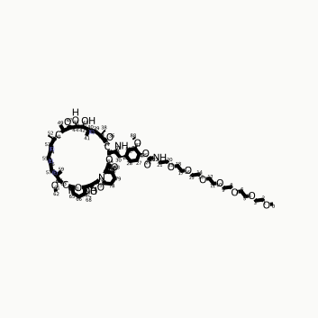 COCCOCCOCCOCCOCCOCCOCCNC(=O)O[C@@H]1CC[C@@H](C[C@@H](N)[C@@H]2CC(=O)[C@H](C)/C=C(\C)[C@@H](O)[C@@H](O)C(=O)C(C)C[C@H](C)/C=C/C=C/C=C(\C)[C@@H](OC)C[C@@H]3CC[C@@H](C)[C@@](O)(O3)C(=O)C(=O)N3CCCC[C@H]3C(=O)O2)C[C@H]1OC